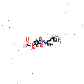 CCC(O)COC(=O)c1ccc2c(c1)C(=O)N(C/C=C(/C)CCC=C(C)C)C2=O